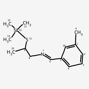 Cc1cccc(C=NCC(C)S[Si](C)(C)C)c1